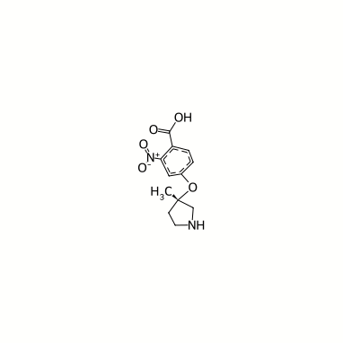 C[C@]1(Oc2ccc(C(=O)O)c([N+](=O)[O-])c2)CCNC1